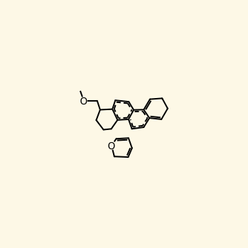 C1=CCOC=C1.COCC1CCCc2c1ccc1c3c(ccc21)=CCCC=3